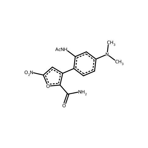 CC(=O)Nc1cc(N(C)C)ccc1-c1cc([N+](=O)[O-])oc1C(N)=O